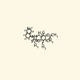 CC(=O)Oc1c(C)c(C)c2c(c1C)CCC(C)(C(=S)Nc1cccc3cnccc13)O2